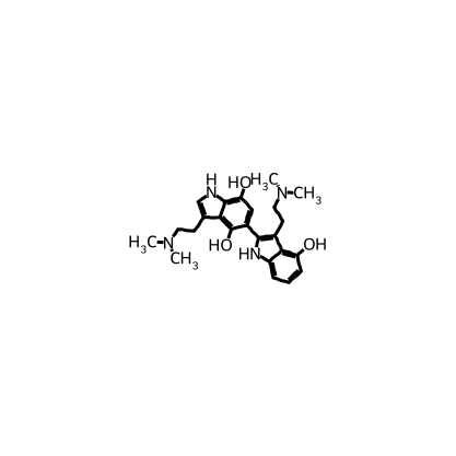 CN(C)CCc1c(-c2cc(O)c3[nH]cc(CCN(C)C)c3c2O)[nH]c2cccc(O)c12